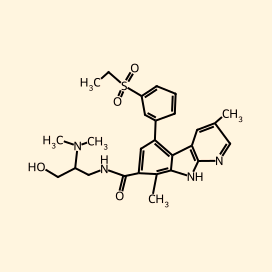 CCS(=O)(=O)c1cccc(-c2cc(C(=O)NCC(CO)N(C)C)c(C)c3[nH]c4ncc(C)cc4c23)c1